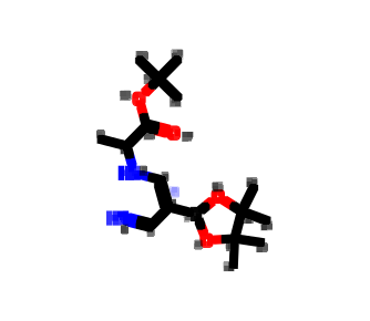 CC(N/C=C(\C=N)B1OC(C)(C)C(C)(C)O1)C(=O)OC(C)(C)C